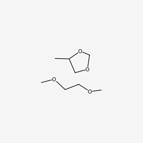 CC1COCO1.COCCOC